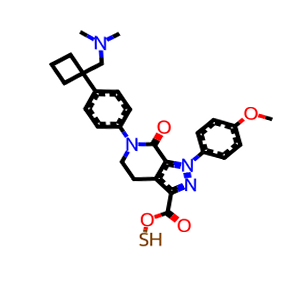 COc1ccc(-n2nc(C(=O)OS)c3c2C(=O)N(c2ccc(C4(CN(C)C)CCC4)cc2)CC3)cc1